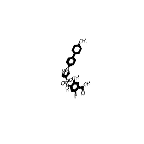 CC1CCC(c2ccc(-n3cc(S(=O)(=O)Nc4cc(F)c(C(=O)O)cc4O)cn3)cc2)CC1